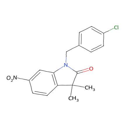 CC1(C)C(=O)N(Cc2ccc(Cl)cc2)c2cc([N+](=O)[O-])ccc21